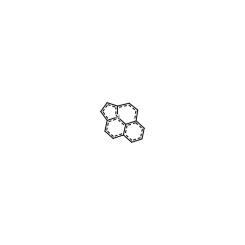 c1cc2ccc3ccc4ccc(c1)c2n34